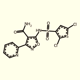 NC(=O)c1c(-c2ccccn2)noc1NS(=O)(=O)c1cc(Cl)sc1Cl